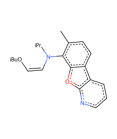 Cc1ccc2c(oc3ncccc32)c1N(/C=C\OCC(C)C)C(C)C